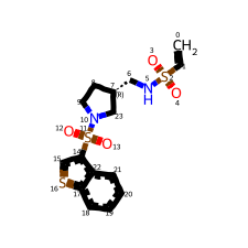 C=CS(=O)(=O)NC[C@H]1CCN(S(=O)(=O)c2csc3ccccc23)C1